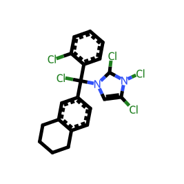 ClC1=CN(C(Cl)(c2ccc3c(c2)CCCC3)c2ccccc2Cl)C(Cl)N1Cl